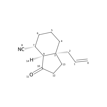 C=CC[C@@]12CCC[C@@H](C#N)[C@@H]1C(=O)CC2